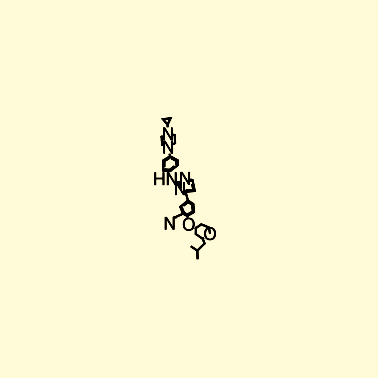 CC(C)CC1CC(Oc2ccc(-c3ccnc(Nc4ccc(N5CCN(C6CC6)CC5)cc4)n3)cc2C#N)CCO1